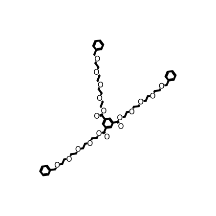 O=C(OCCOCCOCCOCCOCc1ccccc1)c1cc(C(=O)OCCOCCOCCOCCOCc2ccccc2)cc(C(=O)OCCOCCOCCOCCOCc2ccccc2)c1